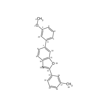 COc1cccc(-c2ccc3nc(-c4cccc(C)c4)oc3c2)c1